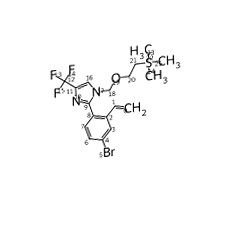 C=Cc1cc(Br)ccc1-c1nc(C(F)(F)F)cn1COCCS(C)(C)C